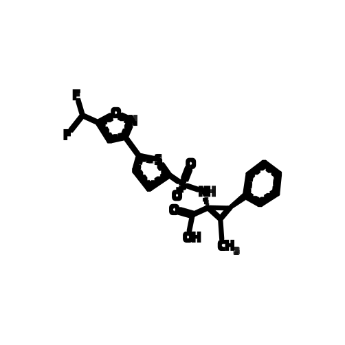 CC1[C@H](c2ccccc2)[C@]1(NS(=O)(=O)c1ccc(-c2cc(C(F)F)on2)s1)C(=O)O